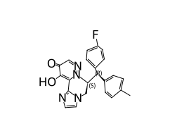 Cc1ccc([C@H](c2ccc(F)cc2)[C@H]2Cn3ccnc3-c3c(O)c(=O)cnn32)cc1